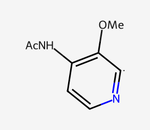 COc1[c]nccc1NC(C)=O